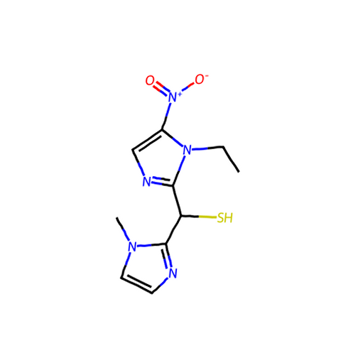 CCn1c([N+](=O)[O-])cnc1C(S)c1nccn1C